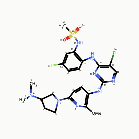 COc1nc(N2CCC(N(C)C)C2)ccc1Nc1ncc(Cl)c(Nc2ccc(F)cc2NS(C)(=O)=O)n1